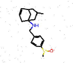 CC1CC2C=CCC(NCc3ccc([S+](C)[O-])cc3)(C1)C2